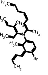 C=CC/C=C\C=C(/C)N(/C(C=C)=C(\C)C=C)c1ccc(Br)/c(=C/C=C\C)c1=C